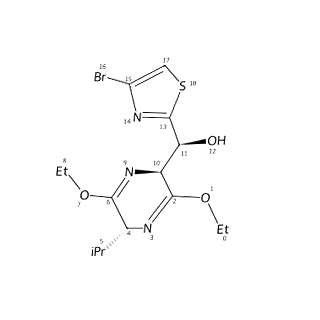 CCOC1=N[C@H](C(C)C)C(OCC)=N[C@H]1[C@H](O)c1nc(Br)cs1